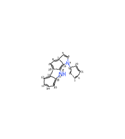 c1ccc(-n2ccc3ccc4c5ccccc5[nH]c4c32)cc1